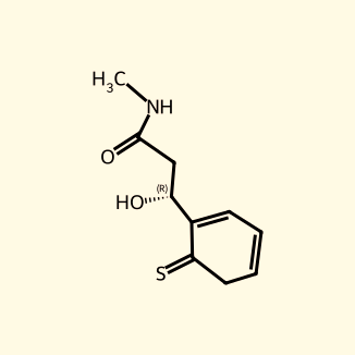 CNC(=O)C[C@@H](O)C1=CC=CCC1=S